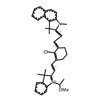 COC(C)[N+]1=C(/C=C/C2=C(Cl)C(=C/C=C3/N(C)c4ccc5ccccc5c4C3(C)C)/CCC2)C(C)(C)c2ccccc21